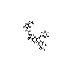 C=C/C=C(\C=C/C)c1ccc(C(=O)NCCCn2ccc(C)c2)cc1C#Cc1ccccc1